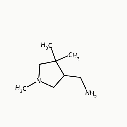 CN1CC(CN)C(C)(C)C1